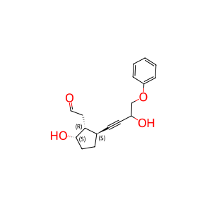 O=CC[C@H]1[C@@H](O)CC[C@@H]1C#CC(O)COc1ccccc1